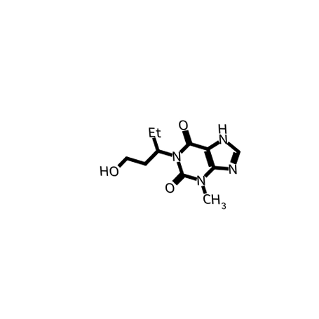 CCC(CCO)n1c(=O)c2[nH]cnc2n(C)c1=O